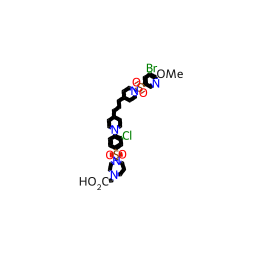 COc1ncc(S(=O)(=O)N2CCC(CCCC3CCN(c4ccc(S(=O)(=O)N5CCCN(CC(=O)O)CC5)cc4Cl)CC3)CC2)cc1Br